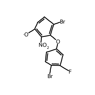 [O]c1ccc(Br)c(Oc2ccc(Br)c(F)c2)c1[N+](=O)[O-]